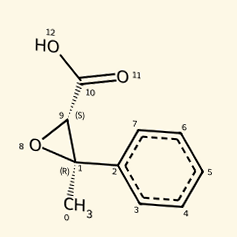 C[C@]1(c2ccccc2)O[C@@H]1C(=O)O